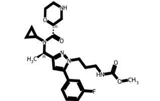 COC(=O)NCCCn1nc([C@@H](C)N(C(=O)[C@H]2CNCCO2)C2CC2)cc1-c1cccc(F)c1